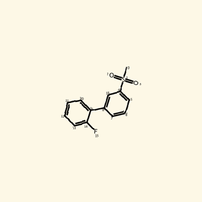 CS(=O)(=O)c1c[c]cc(-c2ccccc2F)c1